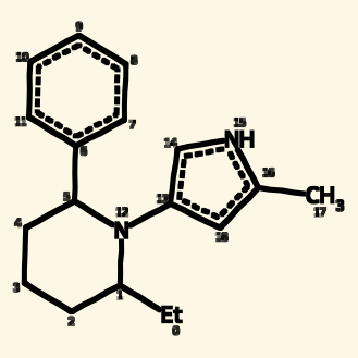 CCC1CCCC(c2ccccc2)N1c1c[nH]c(C)c1